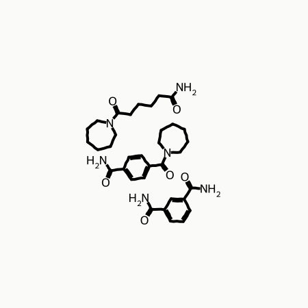 NC(=O)CCCCC(=O)N1CCCCCC1.NC(=O)c1ccc(C(=O)N2CCCCCC2)cc1.NC(=O)c1cccc(C(N)=O)c1